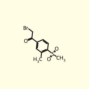 Cc1cc(C(=O)CBr)ccc1S(C)(=O)=O